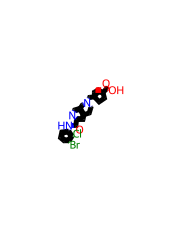 O=C(Nc1cccc(Br)c1Cl)c1cc2c(cn1)CN(CC13CCC(C(=O)O)(CC1)C3)CC2